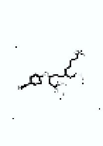 CCCCCC(CC)CCC(CC(C)C)Oc1ccc(C#N)cc1